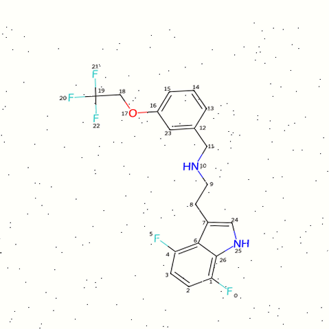 Fc1ccc(F)c2c(CCNCc3cccc(OCC(F)(F)F)c3)c[nH]c12